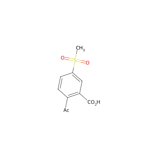 CC(=O)c1ccc(S(C)(=O)=O)cc1C(=O)O